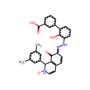 Cc1cc(C)cc(C2C3=C(C=CC(=NNc4cccc(-c5cccc(C(=O)O)c5)c4O)C3=O)C=C[NH+]2[O-])c1